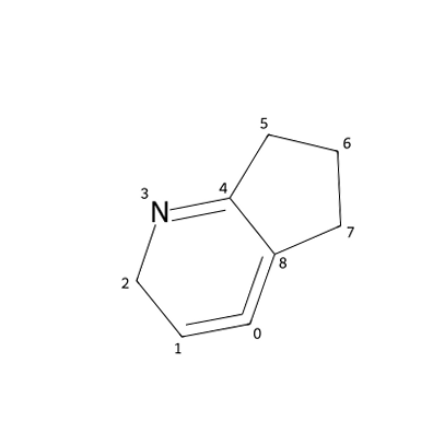 C1=CCN=C2CCCC=12